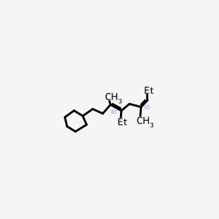 CC/C=C(/C)C/C(CC)=C(\C)CCC1CCCCC1